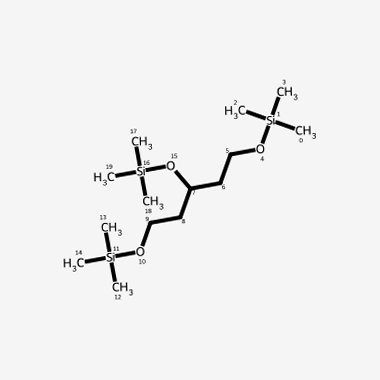 C[Si](C)(C)OCCC(CCO[Si](C)(C)C)O[Si](C)(C)C